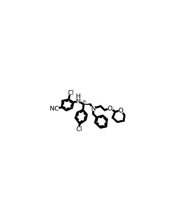 N#Cc1ccc(N[C@@H](CN(CCOC2CCCCO2)Cc2ccccc2)c2ccc(Cl)cc2)c(Cl)c1